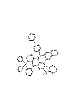 CC1(C)c2ccccc2-c2c1cc1c3c2-c2cc4ccccc4cc2N(c2ccc(-c4ccccc4)cc2)B3c2cccc3c2N1c1ccccc1C31c2ccccc2-c2ccccc21